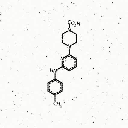 Cc1ccc(Nc2cccc(N3CCN(C(=O)O)CC3)n2)cc1